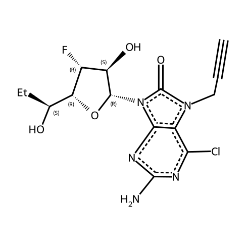 C#CCn1c(=O)n([C@@H]2O[C@H]([C@@H](O)CC)[C@H](F)[C@H]2O)c2nc(N)nc(Cl)c21